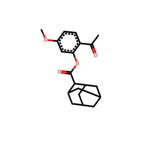 COc1ccc(C(C)=O)c(OC(=O)C2C3CC4CC(C3)CC2C4)c1